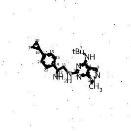 Cn1ncc2c(NC(C)(C)C)nc(NCC(N)c3ccc(C4CC4)cc3)nc21